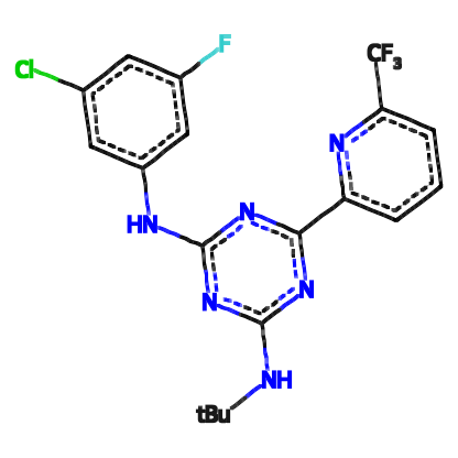 CC(C)(C)Nc1nc(Nc2cc(F)cc(Cl)c2)nc(-c2cccc(C(F)(F)F)n2)n1